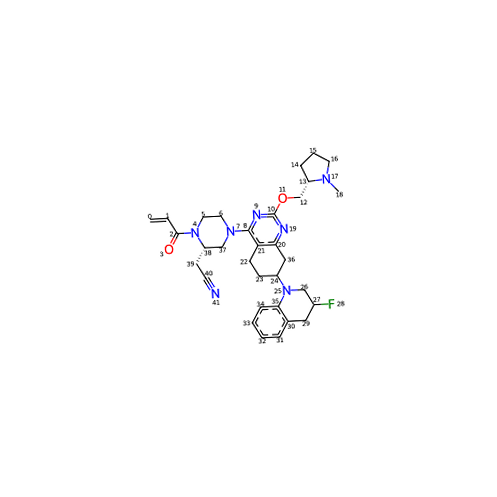 C=CC(=O)N1CCN(c2nc(OC[C@@H]3CCCN3C)nc3c2CCC(N2CC(F)Cc4ccccc42)C3)C[C@@H]1CC#N